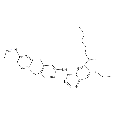 C/C=N\N1C=CC(Oc2ccc(Nc3ncnc4cc(OCC)c(N(C)CCCCC)nc34)cc2C)=CC1